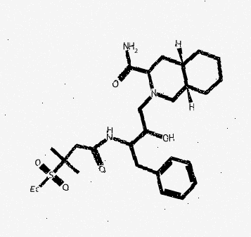 CCS(=O)(=O)C(C)(C)CC(=O)NC(Cc1ccccc1)C(O)CN1C[C@H]2CCCC[C@H]2CC1C(N)=O